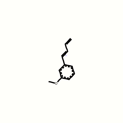 C=C/C=C/c1cccc(OC)c1